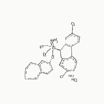 C[CH2][Ti](=[SiH2])([CH2]C)([O]c1ccc2ccccc2c1)[CH]1c2cc(Cl)ccc2-c2ccc(Cl)cc21.Cl.Cl